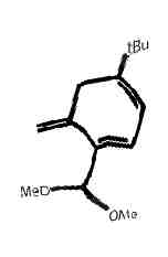 C=C1CC(C(C)(C)C)=CC=C1C(OC)OC